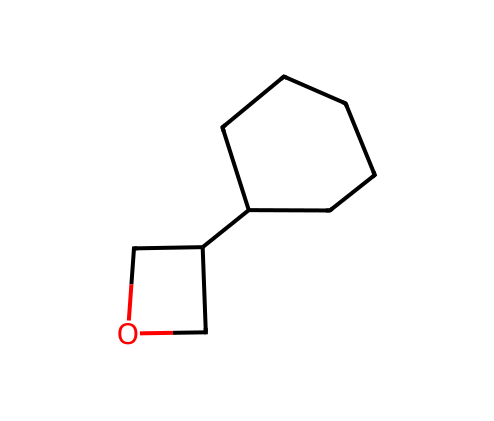 C1CCC(C2COC2)CC1